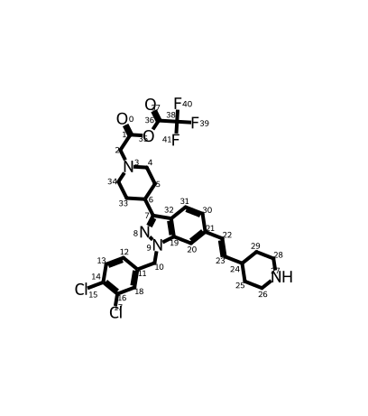 O=C(CN1CCC(c2nn(Cc3ccc(Cl)c(Cl)c3)c3cc(C=CC4CCNCC4)ccc23)CC1)OC(=O)C(F)(F)F